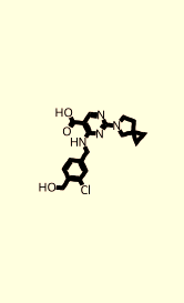 O=C(O)c1cnc(N2CCC3(CC3)C2)nc1NCc1ccc(CO)c(Cl)c1